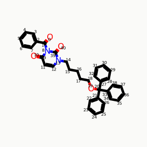 O=C(c1ccccc1)n1c(=O)ccn(CCCCCOC(c2ccccc2)(c2ccccc2)c2ccccc2)c1=O